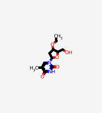 CCOC1CC(n2cc(C)c(=O)[nH]c2=O)OC1CO